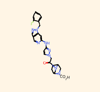 O=C(O)N1CC2CCC1CN2C(=O)Cn1ccc(Nc2cc3c(cn2)cnn3Cc2ccccc2F)n1